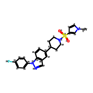 CCCn1ccc(S(=O)(=O)N2CCC(c3ccc4c(cnn4-c4ccc(F)cc4)c3)CC2)c1